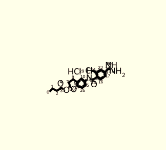 CCCC(=O)OC1CCc2cc(NC(=O)c3ccc(C(=N)N)cc3Cl)ccc2O1.Cl